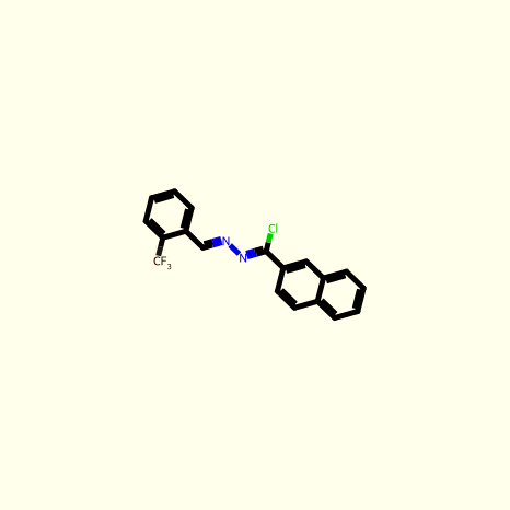 FC(F)(F)c1ccccc1/C=N/N=C(\Cl)c1ccc2ccccc2c1